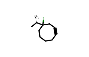 B[C@@H](C)C1(F)CC#CCCCC1